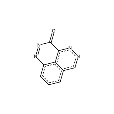 O=C1N=Nc2cccc3cnnc1c23